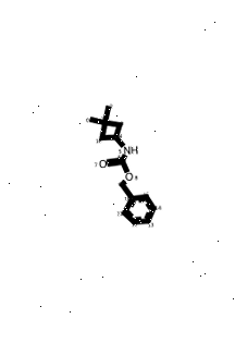 CC1(C)CC(NC(=O)OCc2ccccc2)C1